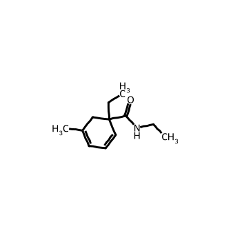 CCNC(=O)C1(CC)C=CC=C(C)C1